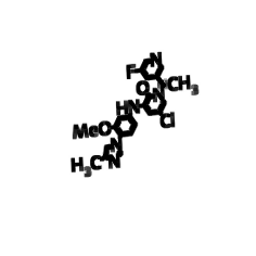 COc1cc(Nc2cc(Cl)cn([C@@H](C)c3cncc(F)c3)c2=O)ccc1-n1cnc(C)c1